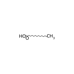 CCCCCCCCCCCCCC(=O)CO